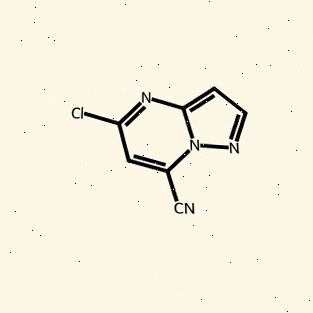 N#Cc1cc(Cl)nc2ccnn12